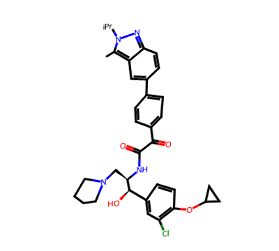 Cc1c2cc(-c3ccc(C(=O)C(=O)N[C@H](CN4CCCC4)[C@H](O)c4ccc(OC5CC5)c(Cl)c4)cc3)ccc2nn1C(C)C